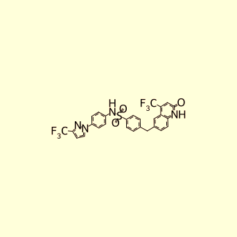 O=c1cc(C(F)(F)F)c2cc(Cc3ccc(S(=O)(=O)Nc4ccc(-n5ccc(C(F)(F)F)n5)cc4)cc3)ccc2[nH]1